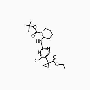 CCOC(=O)C1(c2cnc(NC3CCCCN3C(=O)OC(C)(C)C)nc2Cl)CC1